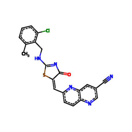 Cc1cccc(Cl)c1CNC1=NC(=O)C(=Cc2ccc3ncc(C#N)cc3n2)S1